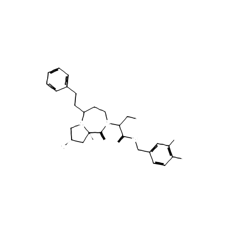 N[C@@H]1C[C@H]2C(=O)N(C(CO)C(=O)NCc3ccc(Cl)c(Cl)c3)CCC(CCc3ccccc3)N2C1